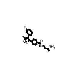 C=C(N)CCNC(=O)c1ccc(-c2noc(C)c2-c2cccc(F)c2)cc1